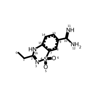 CCC1=NS(=O)(=O)c2cc(C(=N)N)ccc2N1